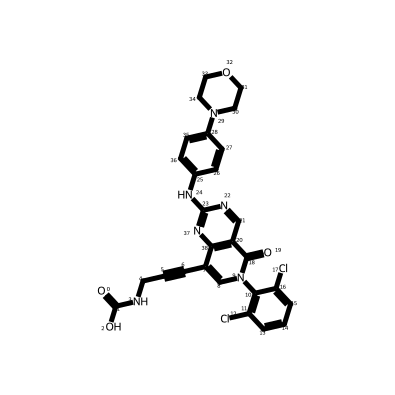 O=C(O)NCC#Cc1cn(-c2c(Cl)cccc2Cl)c(=O)c2cnc(Nc3ccc(N4CCOCC4)cc3)nc12